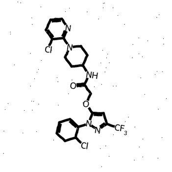 O=C(COc1cc(C(F)(F)F)nn1C1=CC=CCC1Cl)NC1CCN(c2ncccc2Cl)CC1